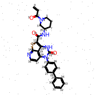 C=CC(=O)N1CCC[C@@H](NC(=O)c2sc3nccc4c3c2NC(=O)N4c2ccc(-c3ccccc3)cc2)C1